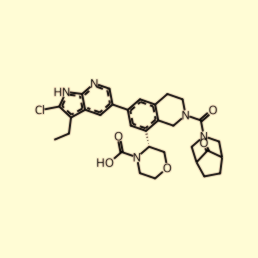 CCc1c(Cl)[nH]c2ncc(-c3cc4c(c([C@@H]5COCCN5C(=O)O)c3)CN(C(=O)N3CC5CCC(C3)C5=O)CC4)cc12